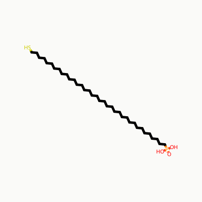 O=P(O)(O)CCCCCCCCCCCCCCCCCCCCCCCCCCCCCCCCCCCCS